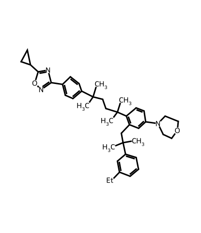 CCc1cccc(C(C)(C)Cc2cc(N3CCOCC3)ccc2C(C)(C)CCC(C)(C)c2ccc(-c3noc(C4CC4)n3)cc2)c1